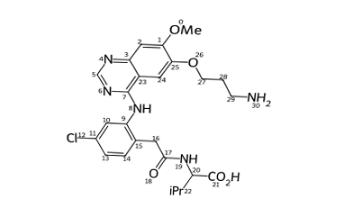 COc1cc2ncnc(Nc3cc(Cl)ccc3CC(=O)NC(C(=O)O)C(C)C)c2cc1OCCCN